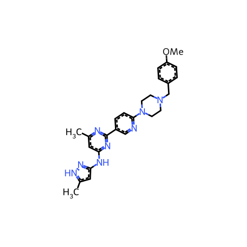 COc1ccc(CN2CCN(c3ccc(-c4nc(C)cc(Nc5cc(C)[nH]n5)n4)cn3)CC2)cc1